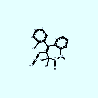 CN1c2ccccc2C(c2ccccc2Cl)=C(N=C=O)C(C)(C)[N+]1=O